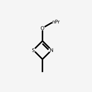 CCCOC1=NC(C)S1